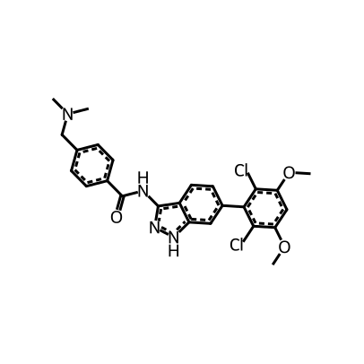 COc1cc(OC)c(Cl)c(-c2ccc3c(NC(=O)c4ccc(CN(C)C)cc4)n[nH]c3c2)c1Cl